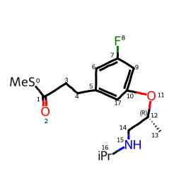 CSC(=O)CCc1cc(F)cc(O[C@H](C)CNC(C)C)c1